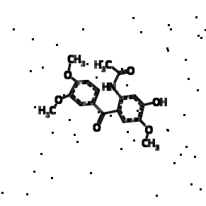 COc1cc(C(=O)c2ccc(OC)c(OC)c2)c(NC(C)=O)cc1O